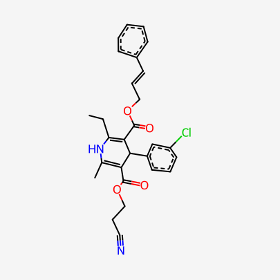 CCC1=C(C(=O)OCC=Cc2ccccc2)C(c2cccc(Cl)c2)C(C(=O)OCCC#N)=C(C)N1